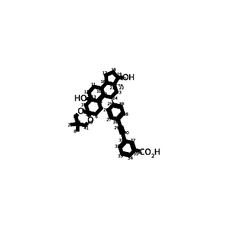 CC1(C)COC2(CCC3=C4C(CCC3(O)C2)C2CCC(O)[C@@]2(C)C[C@@H]4c2ccc(C#Cc3cccc(C(=O)O)c3)cc2)OC1